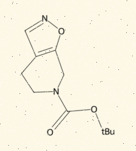 CC(C)(C)OC(=O)N1CCc2cnoc2C1